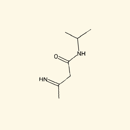 CC(=N)CC(=O)NC(C)C